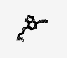 CNc1ncc(OCCN)c2nncn12